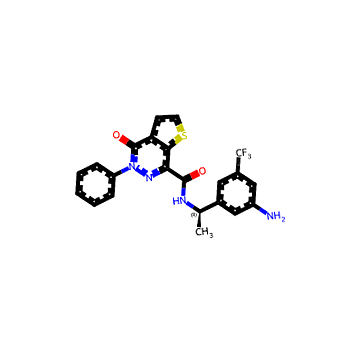 C[C@@H](NC(=O)c1nn(-c2ccccc2)c(=O)c2ccsc12)c1cc(N)cc(C(F)(F)F)c1